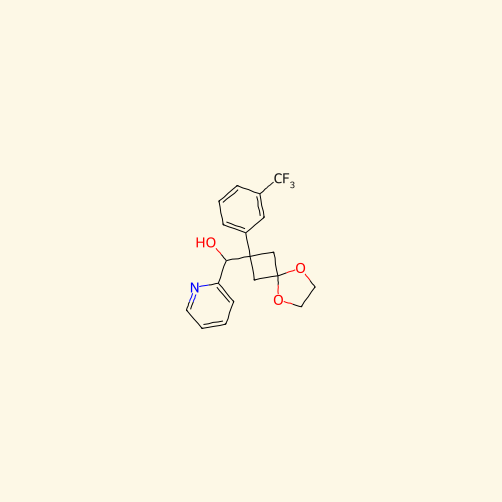 OC(c1ccccn1)C1(c2cccc(C(F)(F)F)c2)CC2(C1)OCCO2